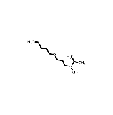 CSCCCOCCCN(C)C(C)C